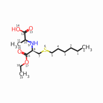 CCCCCCSC[C@H](NC(C)C(=O)O)C(=O)OCC